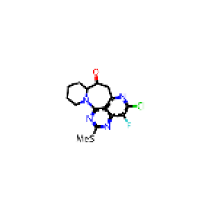 CSc1nc2c3c(nc(Cl)c(F)c3n1)CC(=O)C1CCCCN21